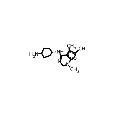 Cc1sc2c(c1C)C(N[C@H]1CC[C@H](N)CC1)=NCN2C